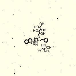 CC(C)C[C@H](N)B(O)O.O=C(OC[C@@H](O)[C@@H](O)[C@H](O)[C@H](O)CO)[C@H](CCc1ccccc1)NS(=O)(=O)c1ccc2ccccc2n1